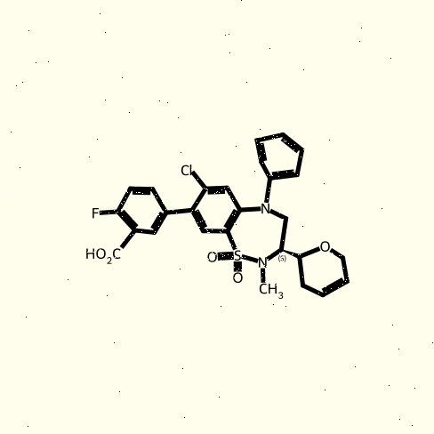 CN1[C@H](C2CC=CCO2)CN(c2ccccc2)c2cc(Cl)c(-c3ccc(F)c(C(=O)O)c3)cc2S1(=O)=O